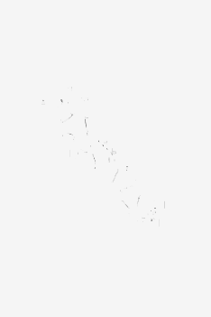 CC(=O)OC1(c2cccc(Cn3nc(C(F)=Cc4ccc(C(C)(C)C(F)(F)F)cc4)cc3C)c2)CC1